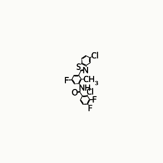 Cc1c(NC(=O)c2ccc(F)c(F)c2Cl)cc(F)cc1-c1nc2cc(Cl)ccc2s1